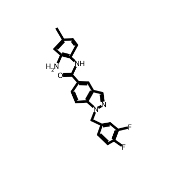 Cc1ccc(NC(=O)c2ccc3c(cnn3Cc3ccc(F)c(F)c3)c2)c(N)c1